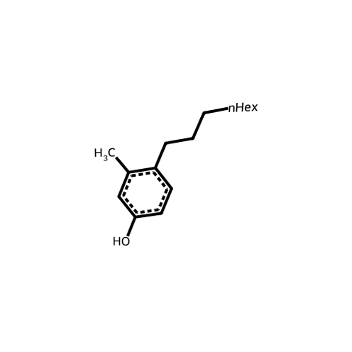 CCCCCCCCCc1ccc(O)cc1C